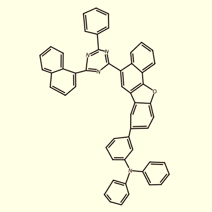 c1ccc(-c2nc(-c3cccc4ccccc34)nc(-c3cc4c5cc(-c6cccc(N(c7ccccc7)c7ccccc7)c6)ccc5oc4c4ccccc34)n2)cc1